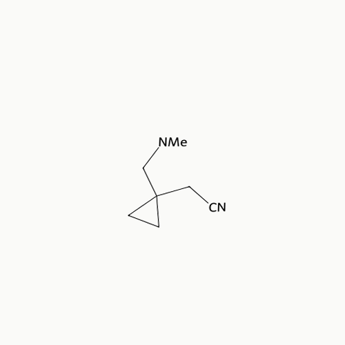 CNCC1(CC#N)CC1